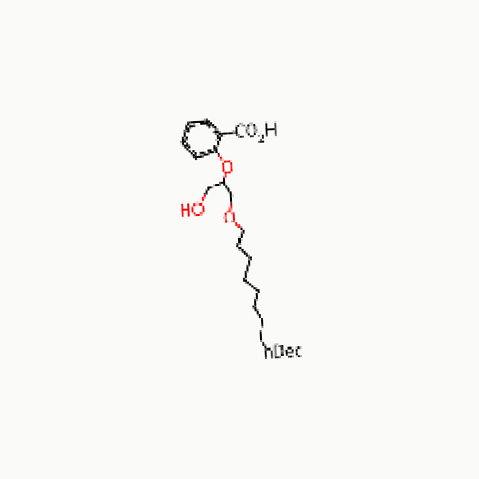 CCCCCCCCCCCCCCCCCCOCC(CO)Oc1ccccc1C(=O)O